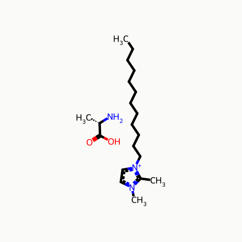 CCCCCCCCCCCC[n+]1ccn(C)c1C.C[C@H](N)C(=O)O